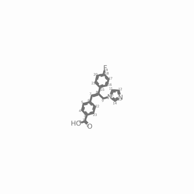 O=C(O)c1ccc(C=C(Cn2ccnc2)c2ccc(F)cc2)cc1